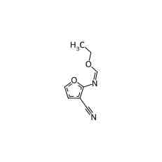 CCO/C=N\c1occc1C#N